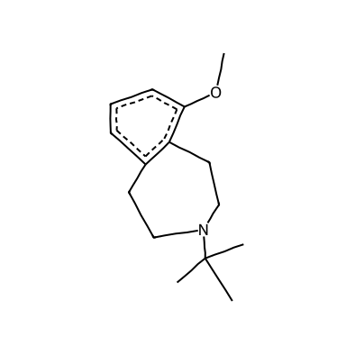 COc1cccc2c1CCN(C(C)(C)C)CC2